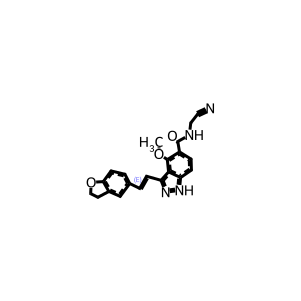 COc1c(C(=O)NCC#N)ccc2[nH]nc(/C=C/c3ccc4c(c3)CCO4)c12